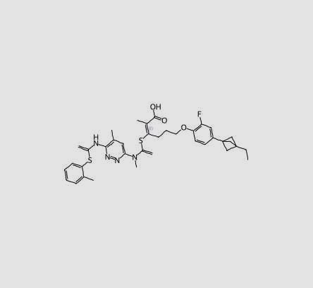 C=C(Nc1nnc(N(C)C(=C)S/C(CCCOc2ccc(C34CC(CC)(C3)C4)cc2F)=C(\C)C(=O)O)cc1C)Sc1ccccc1C